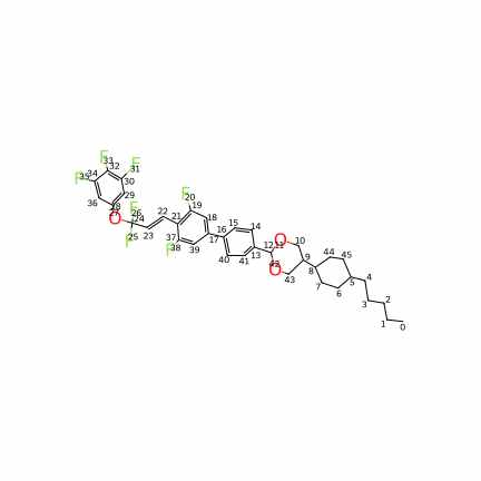 CCCCCC1CCC(C2COC(c3ccc(-c4cc(F)c(/C=C/C(F)(F)Oc5cc(F)c(F)c(F)c5)c(F)c4)cc3)OC2)CC1